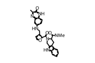 CNC(=O)C1Cc2c([nH]c3ccccc23)CN1C(=O)c1occc1CNc1ccc2[nH]c(=O)c(C)nc2c1